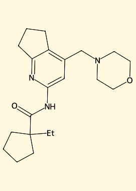 CCC1(C(=O)Nc2cc(CN3CCOCC3)c3c(n2)CCC3)CCCC1